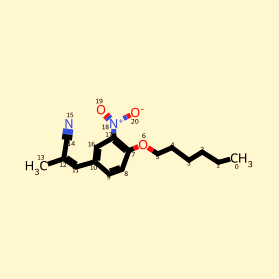 CCCCCCOc1ccc(/C=C(/C)C#N)cc1[N+](=O)[O-]